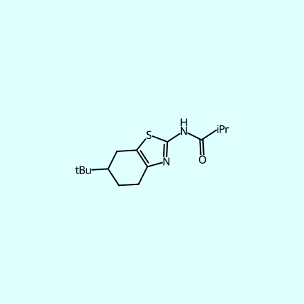 CC(C)C(=O)Nc1nc2c(s1)CC(C(C)(C)C)CC2